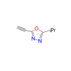 C#Cc1nnc(C(C)C)o1